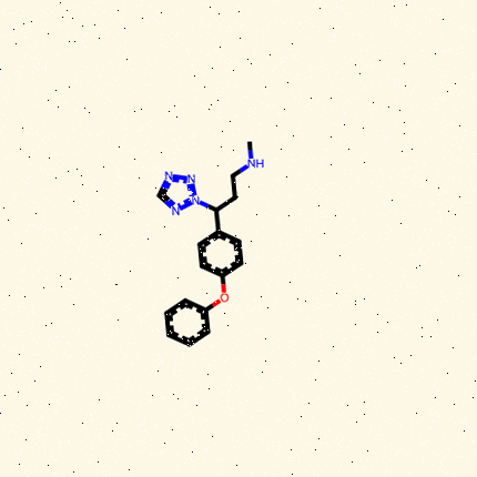 CNCCC(c1ccc(Oc2ccccc2)cc1)n1ncnn1